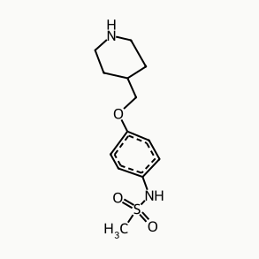 CS(=O)(=O)Nc1ccc(OCC2CCNCC2)cc1